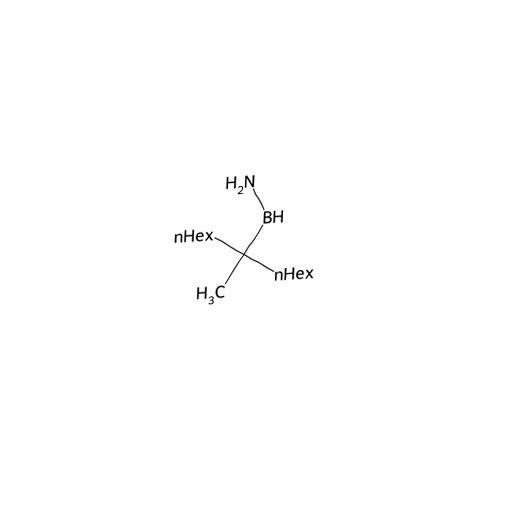 CCCCCCC(C)(BN)CCCCCC